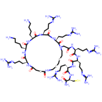 NCCCC[C@@H]1NC(=O)[C@H](CCCN=C(N)N)NC(=O)CCC(=O)NCCCCCCN(CC(=O)N[C@@H](CCCN=C(N)N)C(=O)N[C@@H](CCCN=C(N)N)C(=O)N[C@@H](CCCN=C(N)N)C(=O)N[C@@H](CS)C(N)=O)C(=O)[C@H](CCCN=C(N)N)NC(=O)[C@H](CCCN=C(N)N)NC(=O)[C@H](CCCCN)NC1=O